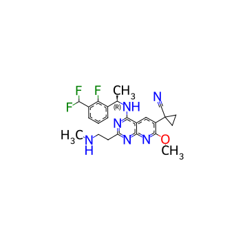 CNCCc1nc(N[C@H](C)c2cccc(C(F)F)c2F)c2cc(C3(C#N)CC3)c(OC)nc2n1